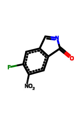 O=C1N=Cc2cc(F)c([N+](=O)[O-])cc21